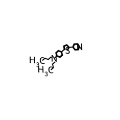 CCCCN(CCCC)c1ccc(-c2ccc(-c3ccncc3)s2)cc1